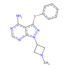 CN1CC(n2nc(Sc3ccccc3)c3c(N)ncnc32)C1